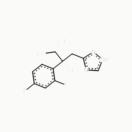 C[C@@H](O)[C@@](O)(Cc1nc[nH]n1)c1ccc(F)cc1F